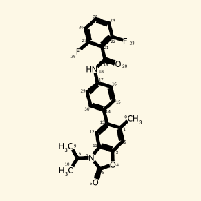 Cc1cc2oc(=O)n(C(C)C)c2cc1-c1ccc(NC(=O)c2c(F)cccc2F)cc1